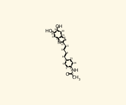 CC(=O)Nc1ccc(/C=C/C=C/c2nc3cc(O)c(O)cc3s2)cc1